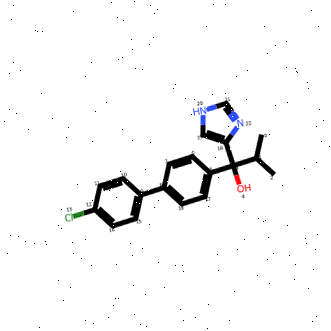 CC(C)C(O)(c1ccc(-c2ccc(Cl)cc2)cc1)c1c[nH]cn1